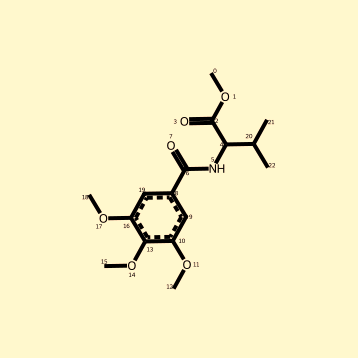 COC(=O)C(NC(=O)c1cc(OC)c(OC)c(OC)c1)C(C)C